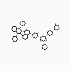 c1ccc(-c2nc(-c3ccc(-c4cccnc4)cc3)cc(-c3ccc(-c4ccc5c6c(cccc46)-c4c-5c(-c5ccccc5)c5ccccc5c4-c4ccccc4)cc3)n2)cc1